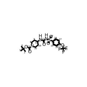 CC(C)(C)OC(=O)N1CCC(NC(=O)NS(=O)(=O)c2ccc(OC(F)(F)F)cc2)CC1